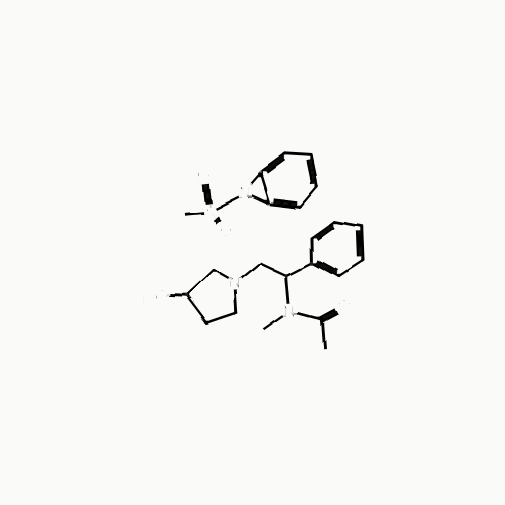 CC(=O)N(C)C(CN1CCC(O)C1)c1ccccc1.CS(=O)(=O)N1c2ccccc21